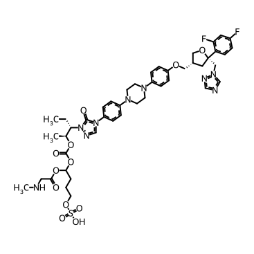 CC[C@@H]([C@H](C)OC(=O)OC(CCCOS(=O)(=O)O)OC(=O)CNC)n1ncn(-c2ccc(N3CCN(c4ccc(OC[C@@H]5CO[C@@](Cn6cncn6)(c6ccc(F)cc6F)C5)cc4)CC3)cc2)c1=O